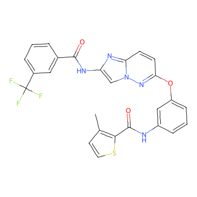 Cc1ccsc1C(=O)Nc1cccc(Oc2ccc3nc(NC(=O)c4cccc(C(F)(F)F)c4)cn3n2)c1